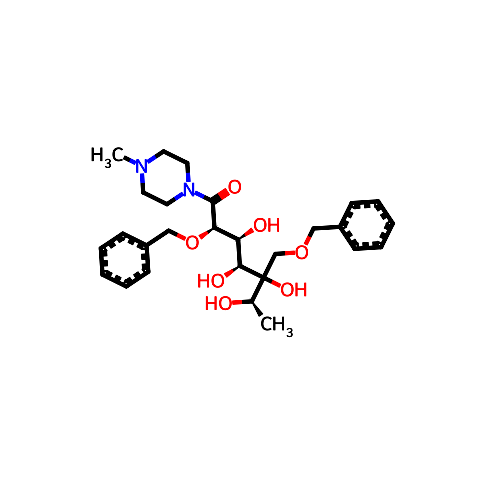 C[C@@H](O)C(O)(COCc1ccccc1)[C@@H](O)[C@H](O)[C@@H](OCc1ccccc1)C(=O)N1CCN(C)CC1